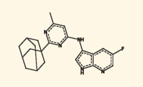 Cc1cc(Nc2c[nH]c3ncc(F)cc23)nc(C23CC4CC(CC(C4)C2)C3)n1